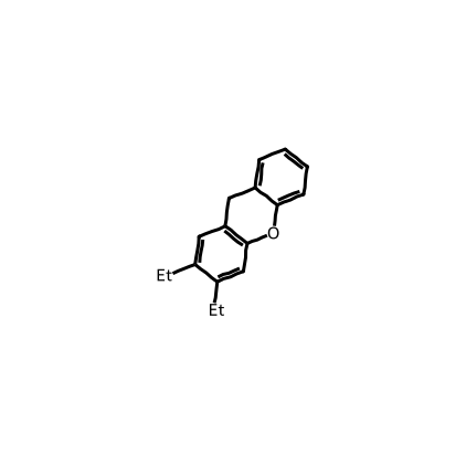 CCc1cc2c(cc1CC)Oc1ccccc1C2